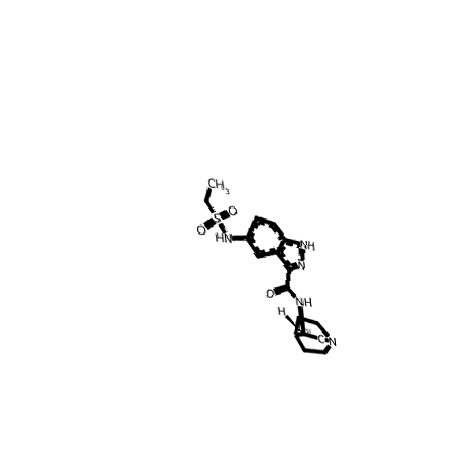 CCS(=O)(=O)Nc1ccc2[nH]nc(C(=O)N[C@@H]3CN4CCC3CC4)c2c1